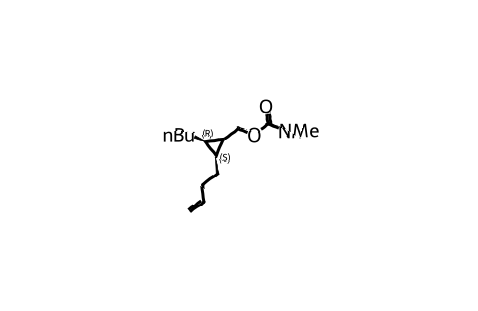 C=CCC[C@@H]1C(COC(=O)NC)[C@@H]1CCCC